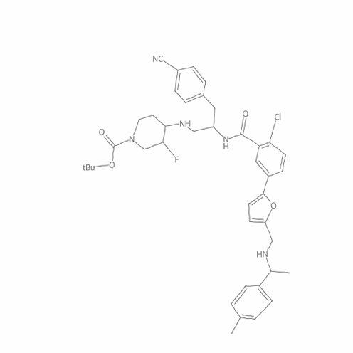 Cc1ccc(C(C)NCc2ccc(-c3ccc(Cl)c(C(=O)NC(CNC4CCN(C(=O)OC(C)(C)C)CC4F)Cc4ccc(C#N)cc4)c3)o2)cc1